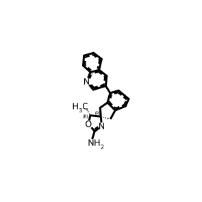 C[C@H]1OC(N)=N[C@@]12Cc1cccc(-c3cnc4ccccc4c3)c1C2